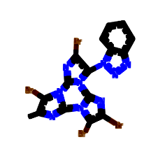 Cc1nc2n(c1Br)c1nc(Br)c(-n3nnc4ccccc43)n1c1nc(Br)c(Br)n21